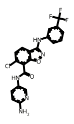 Nc1ccc(NC(=O)c2c(Cl)ccc3c(Nc4cccc(C(F)(F)F)c4)noc23)cn1